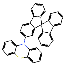 c1ccc2c(c1)Sc1ccccc1N2c1ccc2c(c1)C1(c3ccccc3-c3ccccc31)c1ccccc1-2